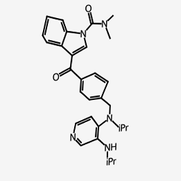 CC(C)Nc1cnccc1N(Cc1ccc(C(=O)c2cn(C(=O)N(C)C)c3ccccc23)cc1)C(C)C